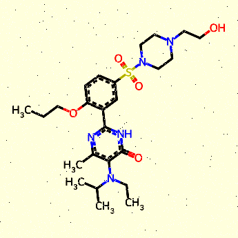 CCCOc1ccc(S(=O)(=O)N2CCN(CCO)CC2)cc1-c1nc(C)c(N(CC)C(C)C)c(=O)[nH]1